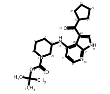 CC(C)(C)OC(=O)N1CCCC(Nc2ccnc3[nH]cc(C(=O)C4CCCC4)c23)C1